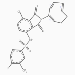 O=C1c2c(Cl)ccc(NS(=O)(=O)c3ccc(F)c(C(F)(F)F)c3)c2C(=O)N1C1=C/CC/C=C/C=C\1